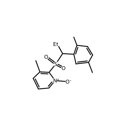 CCC(c1cc(C)ccc1C)S(=O)(=O)c1c(C)ccc[n+]1[O-]